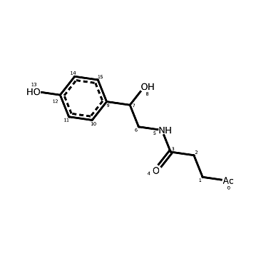 CC(=O)CCC(=O)NCC(O)c1ccc(O)cc1